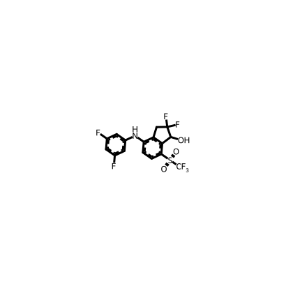 O=S(=O)(c1ccc(Nc2cc(F)cc(F)c2)c2c1C(O)C(F)(F)C2)C(F)(F)F